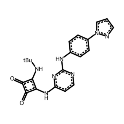 CC(C)(C)Nc1c(Nc2ccnc(Nc3ccc(-n4cccn4)cc3)n2)c(=O)c1=O